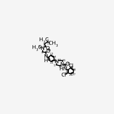 CC(C)CC(=O)N(C)CC(=O)Nc1ccc(N2CCN(C(=O)Nc3c(Cl)cccc3Cl)CC2)cc1